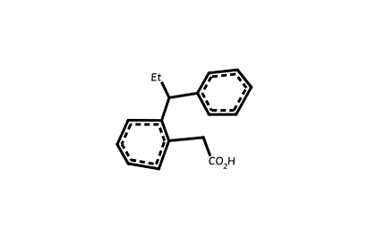 CCC(c1ccccc1)c1ccccc1CC(=O)O